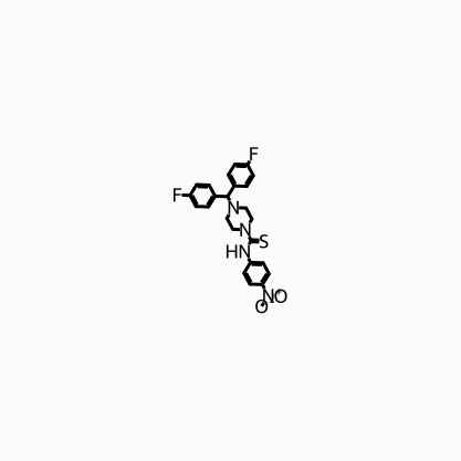 O=[N+]([O-])c1ccc(NC(=S)N2CCN(C(c3ccc(F)cc3)c3ccc(F)cc3)CC2)cc1